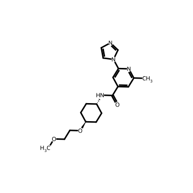 COCCO[C@H]1CC[C@H](NC(=O)c2cc(C)nc(-n3ccnc3)c2)CC1